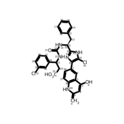 C=C1C=C(O)c2cc(-c3nc([C@H](Cc4ccccc4)NC(=O)NC(CC(=O)O)c4cccc(Cl)c4)[nH]c3Cl)ccc2N1